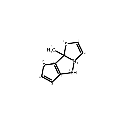 CC12SC=CN1Bc1ccsc12